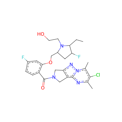 CCC1C(F)CC(COc2cc(F)ccc2C(=O)N2Cc3nn4c(C)c(Cl)c(C)nc4c3C2)N1CCO